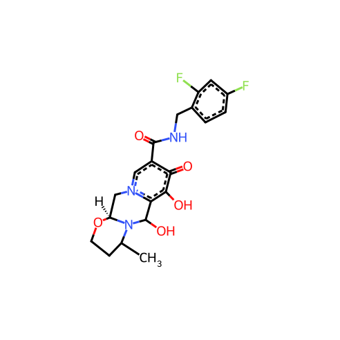 CC1CCO[C@H]2Cn3cc(C(=O)NCc4ccc(F)cc4F)c(=O)c(O)c3C(O)N12